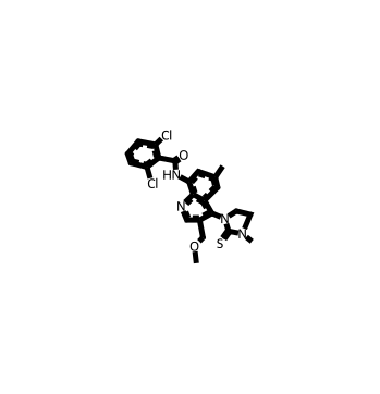 COCc1cnc2c(NC(=O)c3c(Cl)cccc3Cl)cc(C)cc2c1N1CCN(C)C1=S